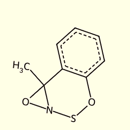 CC12ON1SOc1ccccc12